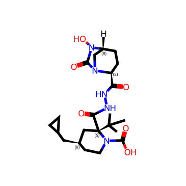 CC(C)(C)[C@]1(C(=O)NNC(=O)[C@@H]2CC[C@@H]3CN2C(=O)N3O)C[C@H](CC2CC2)CCN1C(=O)O